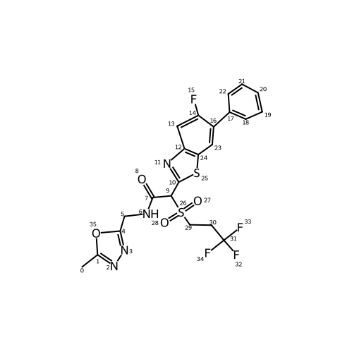 Cc1nnc(CNC(=O)C(c2nc3cc(F)c(-c4ccccc4)cc3s2)S(=O)(=O)CCC(F)(F)F)o1